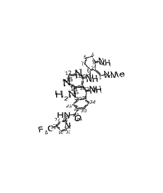 CN/C=C1\C(=N)CCC[C@@H]1Nc1ncnc(N)c1C(=N)c1ccc(C(=O)Nc2cc(C(F)(F)F)ccn2)cc1